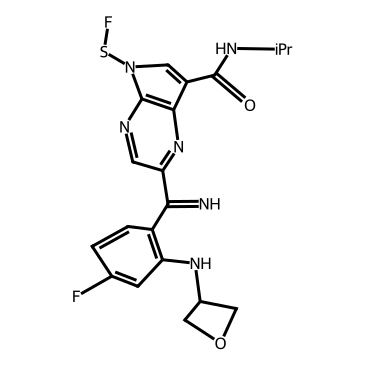 CC(C)NC(=O)c1cn(SF)c2ncc(C(=N)c3ccc(F)cc3NC3COC3)nc12